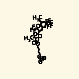 CCc1cc(S(F)(F)(F)(F)F)cc2c1O[C@H](C(F)(F)F)C(C(=O)OC(C)OC(=O)OCCCCO[N+](=O)[O-])=C2